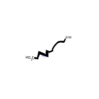 CCCCCCCCCC/C=C/CC(=O)O